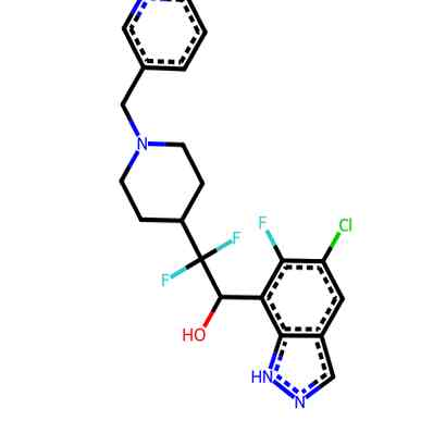 OC(c1c(F)c(Cl)cc2cn[nH]c12)C(F)(F)C1CCN(Cc2cccnc2)CC1